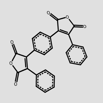 O=C1OC(=O)C(c2ccc(C3=C(c4ccccc4)C(=O)OC3=O)cc2)=C1c1ccccc1